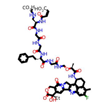 CC[C@@]1(O)C(=O)OCc2c1cc1n(c2=O)Cc2c-1nc1cc(F)c(C)c3c1c2[C@@H](NC(=O)[C@H](C)OCNC(=O)CNC(=O)[C@H](CCc1ccccc1)NC(=O)CNC(=O)CNC(=O)[C@@H](CNCC(=O)O)NC(=O)/C=C\C(=O)O)CC3